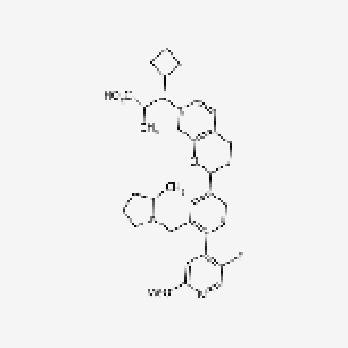 COc1cc(-c2ccc(C3CCc4ccc([C@H](C5CCC5)[C@H](C)C(=O)O)cc4O3)cc2CN2CCCC2C)c(F)cn1